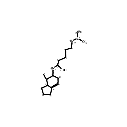 CC1C(NC(O)CCCCN[S+]([O-])C(C)(C)C)CC=C2CCCC21